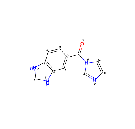 O=C(c1ccc2c(c1)N[CH]N2)n1ccnc1